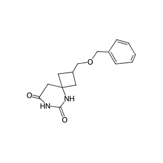 O=C1CC2(CC(COCc3ccccc3)C2)NC(=O)N1